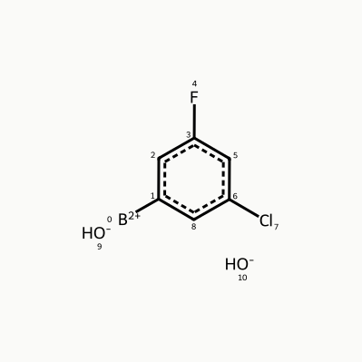 [B+2]c1cc(F)cc(Cl)c1.[OH-].[OH-]